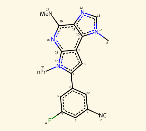 [C-]#[N+]c1cc(F)cc(-c2cc3c4c(ncn4C)c(NC)nc3n2CCC)c1